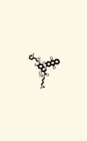 CN(C)CCCCNC(=O)c1cn2c3cc4c(=O)c5ccccc5c(=O)c4cc3oc3c(NCCC4CCCN4C)c(F)cc(c1=O)c32